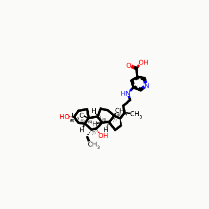 CC[C@H]1[C@@H](O)[C@@H]2[C@H](CC[C@]3(C)[C@@H]([C@H](C)CCNc4cncc(C(=O)O)c4)CC[C@@H]23)[C@@]2(C)CC[C@@H](O)C[C@@H]12